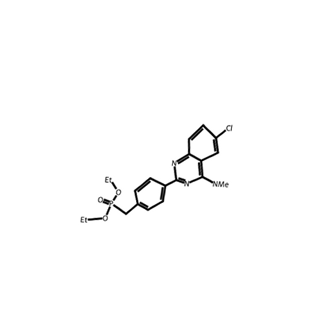 CCOP(=O)(Cc1ccc(-c2nc(NC)c3cc(Cl)ccc3n2)cc1)OCC